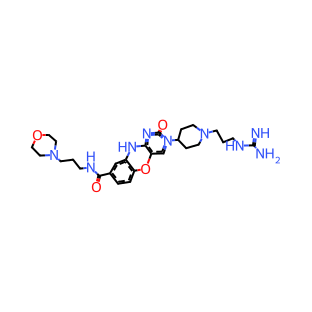 N=C(N)NCCCN1CCC(n2cc3c(nc2=O)Nc2cc(C(=O)NCCCN4CCOCC4)ccc2O3)CC1